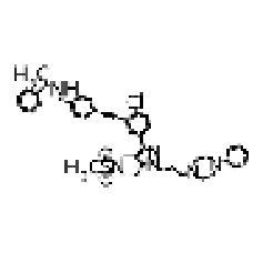 CC(NCc1ccc(C#Cc2cc(-c3nn(CCCN4CCN(c5ccccc5)CC4)c4c3CN(S(C)(=O)=O)CC4)ccc2Cl)cc1)c1ccccc1